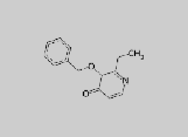 CCC1=NC=CC(=O)C1OCc1ccccc1